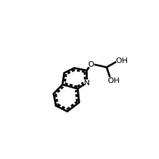 OC(O)Oc1ccc2ccccc2n1